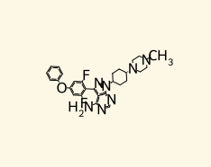 CN1CCN([C@H]2CC[C@H](n3nc(-c4c(F)cc(Oc5ccccc5)cc4F)c4c(N)ncnc43)CC2)CC1